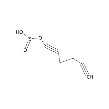 C#CCCC#COS(=O)O